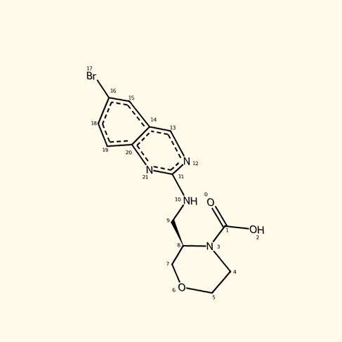 O=C(O)N1CCOC[C@H]1CNc1ncc2cc(Br)ccc2n1